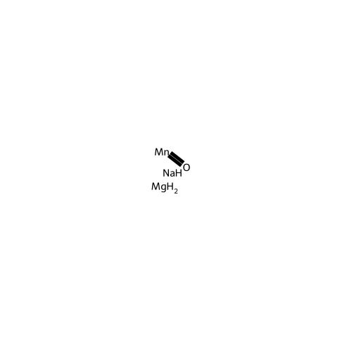 [MgH2].[NaH].[O]=[Mn]